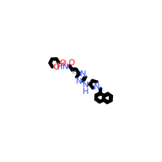 O=C(/C=C/c1cnc(N[C@@H]2CCN(Cc3cccc4ccccc34)C2)cn1)NOC1CCCCO1